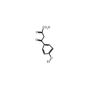 CCOc1ccc(C(=O)CC(=O)C(=O)O)cc1